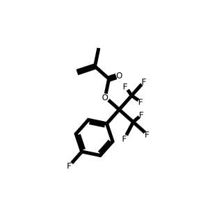 C=C(C)C(=O)OC(c1ccc(F)cc1)(C(F)(F)F)C(F)(F)F